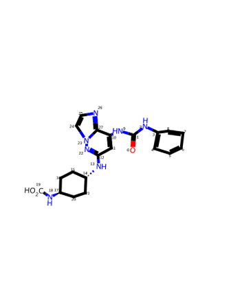 O=C(Nc1ccccc1)Nc1cc(N[C@H]2CC[C@H](NC(=O)O)CC2)nn2ccnc12